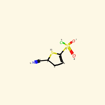 N#CC1CC=C(S(=O)(=O)Cl)S1